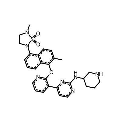 Cc1ccc2c(N3CCN(C)S3(=O)=O)cccc2c1Oc1ncccc1-c1ccnc(NC2CCCNC2)n1